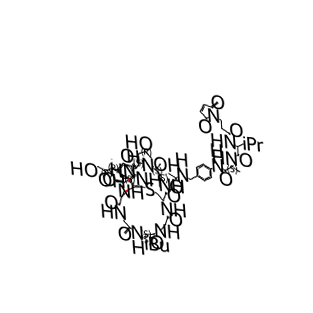 CC[C@H](C)[C@@H]1NC(=O)CNC(=O)C2Cc3c([nH]c4ccccc34)SCC(NC(=O)CNC1=O)C(=O)N[C@@H](CC(=O)NCc1ccc(NC(=O)[C@H](C)NC(=O)C(NC(=O)CCN3C(=O)C=CC3=O)C(C)C)cc1)[C@H](O)N1C[C@H](O)C[C@H]1C(=O)N[C@@H]([C@@H](C)[C@@H](O)CO)C(=O)N2